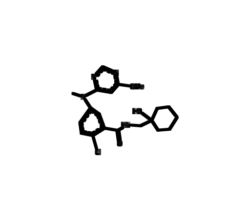 COc1cc(N(C)c2ccc(Cl)c(C(=O)NCC3(O)CCCCC3)c2)ncn1